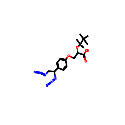 CC(C)(C)[Si](C)(C)OC(COc1ccc(C(CN=[N+]=[N-])N=[N+]=[N-])cc1)C(=O)O